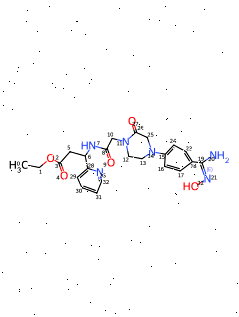 CCOC(=O)CC(NC(=O)CN1CCN(c2ccc(/C(N)=N\O)cc2)CC1=O)c1ccccn1